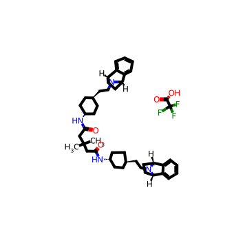 CC(C)(CC(=O)N[C@H]1CC[C@H](CCN2[C@@H]3CC[C@H]2c2ccccc23)CC1)CC(=O)N[C@H]1CC[C@H](CCN2[C@@H]3CC[C@H]2c2ccccc23)CC1.O=C(O)C(F)(F)F